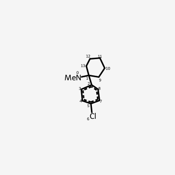 CNC1(c2ccc(Cl)cc2)CCCCC1